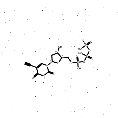 C#Cc1cn([C@H]2C[C@@H](O)[C@@H](COP(=O)(O)OP(=O)(O)OP(=O)(O)O)O2)c(=O)[nH]c1=O